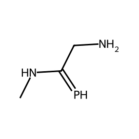 CNC(=P)CN